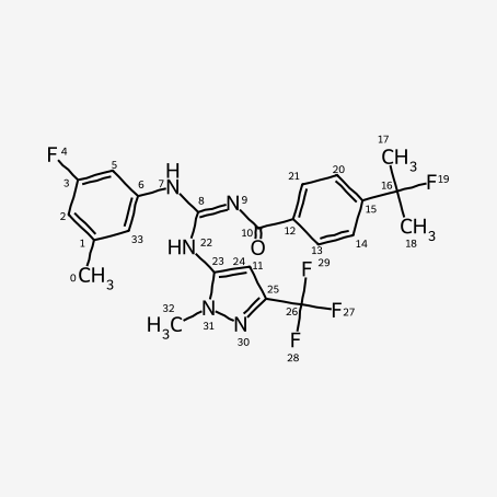 Cc1cc(F)cc(N/C(=N/C(=O)c2ccc(C(C)(C)F)cc2)Nc2cc(C(F)(F)F)nn2C)c1